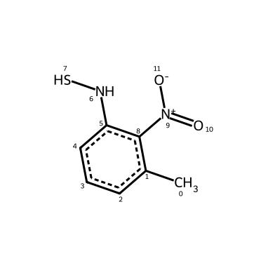 Cc1cccc(NS)c1[N+](=O)[O-]